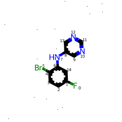 Fc1ccc(Br)c(Nc2cncnc2)c1